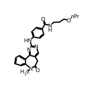 CCCOCCCNC(=O)c1ccc(Nc2ncc3c(n2)-c2ccccc2N(C)C(=O)C3)cc1